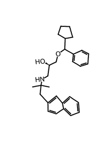 CC(C)(Cc1ccc2ccccc2c1)NC[C@@H](O)COC(c1ccccc1)C1CCCC1